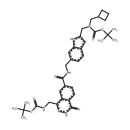 CC(C)(C)OC(=O)NCc1n[nH]c(=O)c2ccc(C(=O)NCc3ccc4cc(CN(CC5CCC5)C(=O)OC(C)(C)C)[nH]c4c3)cc12